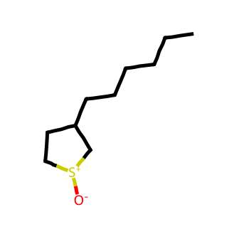 CCCCCCC1CC[S+]([O-])C1